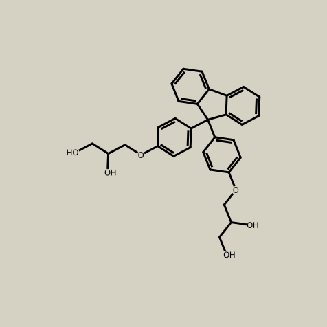 OCC(O)COc1ccc(C2(c3ccc(OCC(O)CO)cc3)c3ccccc3-c3ccccc32)cc1